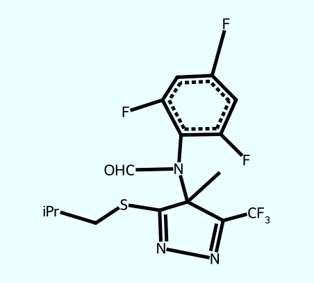 CC(C)CSC1=NN=C(C(F)(F)F)C1(C)N(C=O)c1c(F)cc(F)cc1F